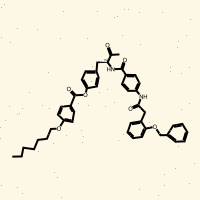 CCCCCCCOc1ccc(C(=O)Oc2ccc(C[C@H](NC(=O)c3ccc(NC(=O)Cc4ccccc4OCc4ccccc4)cc3)C(C)=O)cc2)cc1